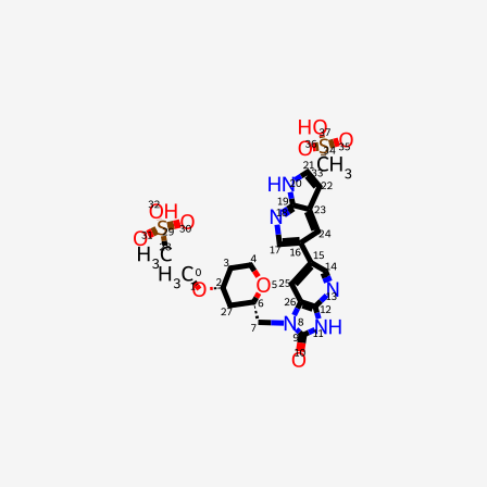 CO[C@@H]1CCO[C@H](Cn2c(=O)[nH]c3ncc(-c4cnc5[nH]ccc5c4)cc32)C1.CS(=O)(=O)O.CS(=O)(=O)O